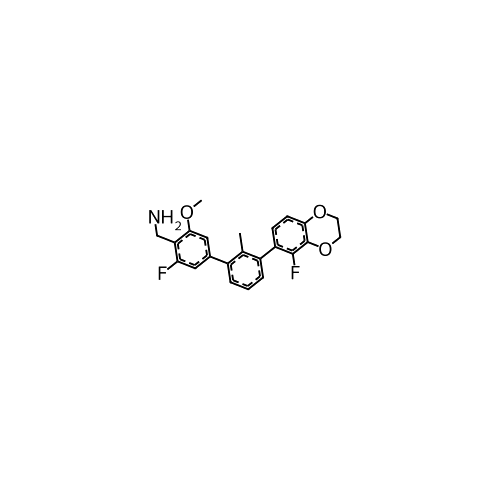 COc1cc(-c2cccc(-c3ccc4c(c3F)OCCO4)c2C)cc(F)c1CN